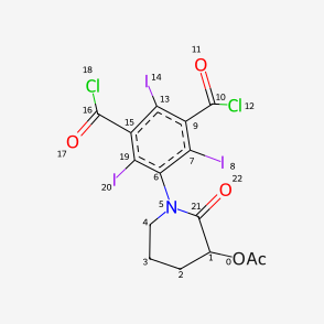 CC(=O)OC1CCCN(c2c(I)c(C(=O)Cl)c(I)c(C(=O)Cl)c2I)C1=O